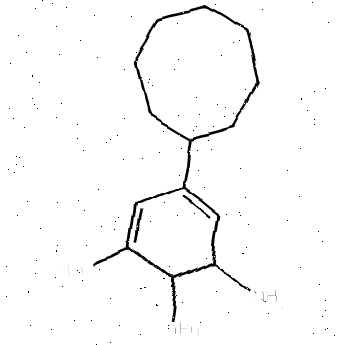 CCCCC1C(C)=CC(C2CCCCCCC2)=CC1N